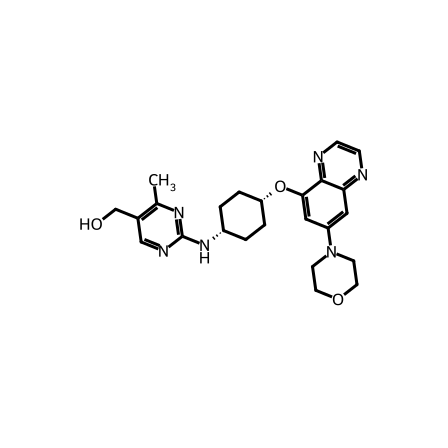 Cc1nc(N[C@H]2CC[C@@H](Oc3cc(N4CCOCC4)cc4nccnc34)CC2)ncc1CO